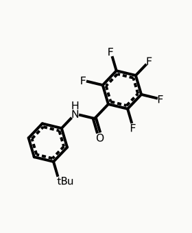 CC(C)(C)c1cccc(NC(=O)c2c(F)c(F)c(F)c(F)c2F)c1